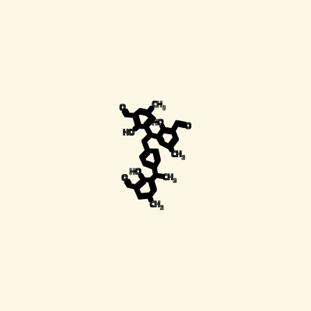 Cc1cc(C=O)c(O)c(C(C)c2ccc(CC(c3cc(C)cc(C=O)c3O)c3cc(C)cc(C=O)c3O)cc2)c1